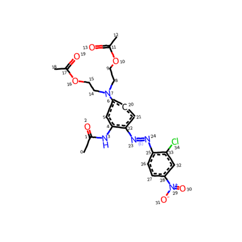 CC(=O)Nc1cc(N(CCOC(C)=O)CCOC(C)=O)ccc1/N=N/c1ccc([N+](=O)[O-])cc1Cl